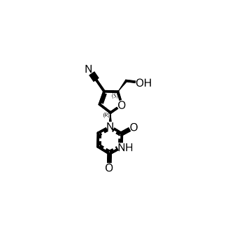 N#CC1=C[C@H](n2ccc(=O)[nH]c2=O)O[C@@H]1CO